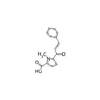 Cn1c(C(=O)O)ccc1C(=O)/C=C/c1ccccc1